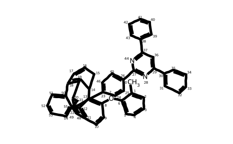 Cc1ccccc1Oc1ccc2c3c1C1CC=CC(=C1c1cc(-c4ccc(-c5nc(-c6ccccc6)cc(-c6ccccc6)n5)cc4)ccc1-2)c1ccccc1-3